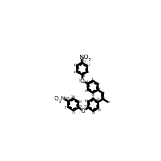 CC(=Cc1ccc(Oc2ccc([N+](=O)[O-])cc2)cc1)c1ccc(Oc2ccc([N+](=O)[O-])cc2)cc1